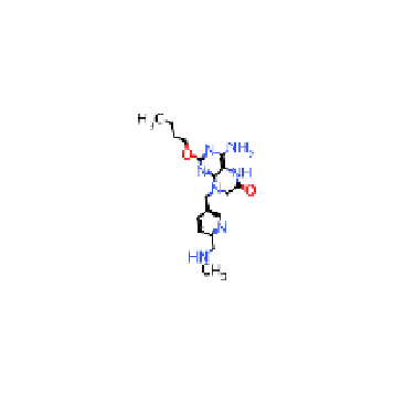 CCCCOc1nc(N)c2c(n1)N(Cc1ccc(CNC)nc1)CC(=O)N2